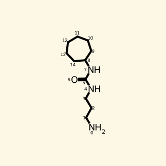 NCCCNC(=O)NC1CCCCCC1